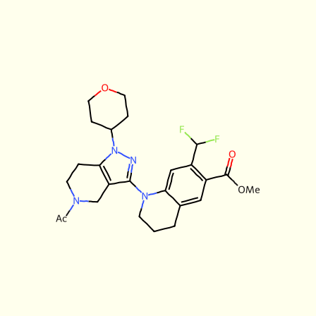 COC(=O)c1cc2c(cc1C(F)F)N(c1nn(C3CCOCC3)c3c1CN(C(C)=O)CC3)CCC2